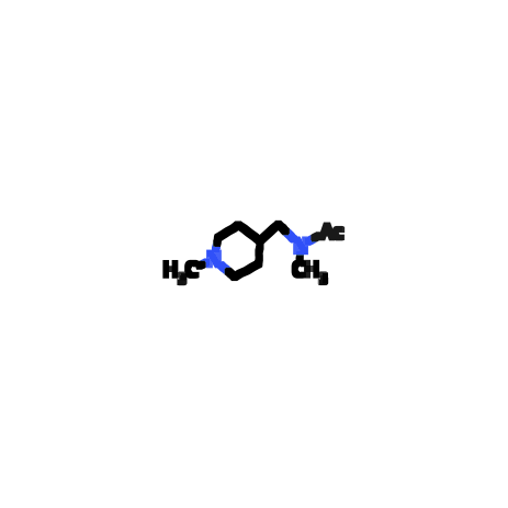 [CH2]C(=O)N(C)CC1CCN(C)CC1